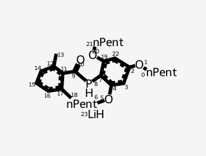 CCCCCOc1cc(OCCCCC)c(PC(=O)c2c(C)cccc2C)c(OCCCCC)c1.[LiH]